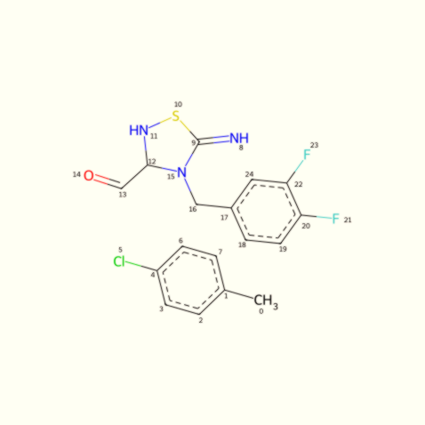 Cc1ccc(Cl)cc1.N=C1SNC(C=O)N1Cc1ccc(F)c(F)c1